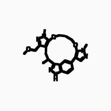 COCc1nn(C)c2c1CC(C)c1n[nH]c3ccc(cc13)-c1cnn(C)c1OCCCO2